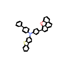 c1ccc(-c2ccc(N(c3ccc(-c4ccc5ccc6cccc7oc4c5c67)cc3)c3ccc4c(c3)sc3ccccc34)cc2)cc1